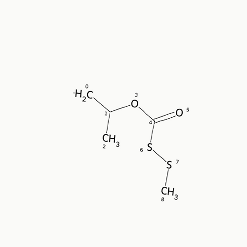 [CH2]C(C)OC(=O)SSC